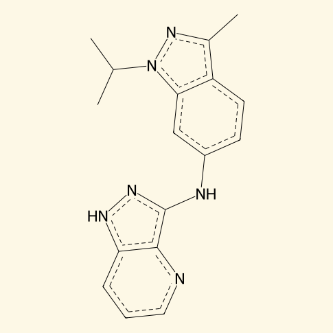 Cc1nn(C(C)C)c2cc(Nc3n[nH]c4cccnc34)ccc12